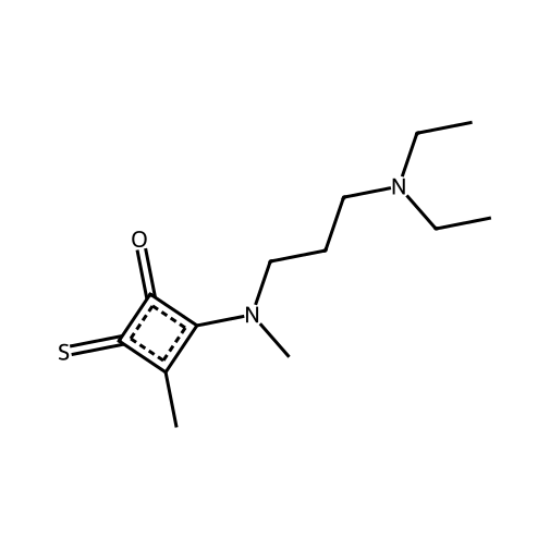 CCN(CC)CCCN(C)c1c(C)c(=S)c1=O